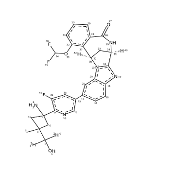 [2H]C([2H])(O)C1(C)CC(N)(c2ncc(-c3ccc4nc5n(c4c3)[C@@H]3C[C@H]5NC(=O)c4cccc(OC(F)F)c43)cc2F)C1